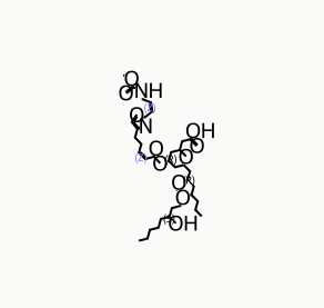 CCCCC[C@H](O)CCOC(CCC)C[C@H](CC1C[C@@H](OC(=O)/C=C\CCc2coc(/C=C\CNC(=O)OC)n2)CC(CC(=O)O)O1)OC